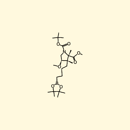 COC(=O)[C@@]1(C)N(C(=O)OC(C)(C)C)C[C@H](OC)[C@@]1(C)CCCCB1OC(C)(C)C(C)(C)O1